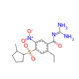 CCc1cc(S(=O)(=O)C2CCCC2C)c([N+](=O)[O-])cc1C(=O)N=C(N)N